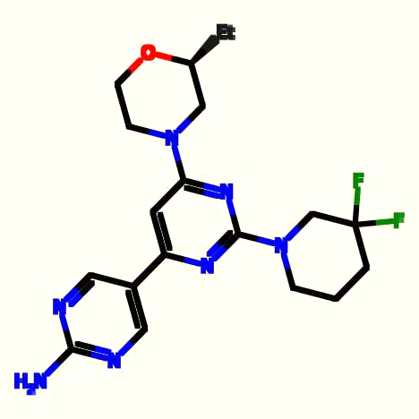 CC[C@H]1CN(c2cc(-c3cnc(N)nc3)nc(N3CCCC(F)(F)C3)n2)CCO1